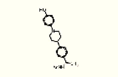 CC(=O)N[C@@H](C)c1ccc(C2CCN(c3ccc(O)cc3)CC2)cc1